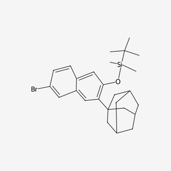 CC(C)(C)[Si](C)(C)Oc1cc2ccc(Br)cc2cc1C12CC3CC(CC(C3)C1)C2